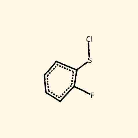 Fc1ccccc1SCl